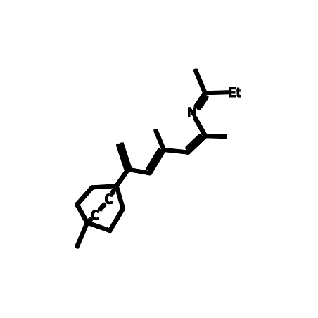 C=C(/C=C(C)/C=C(C)\N=C(\C)CC)C12CCC(C)(CC1)CC2